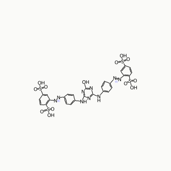 O=S(=O)(O)c1ccc(S(=O)(=O)O)c(/N=N/c2ccc(Nc3nc(O)nc(Nc4ccc(/N=N/c5cc(S(=O)(=O)O)ccc5S(=O)(=O)O)cc4)n3)cc2)c1